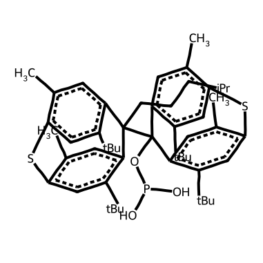 Cc1cc2c(C(C)(C)C)cc1Sc1cc(C(C)(C)C)c(cc1C)C2(CCCC(C)C)C1(OP(O)O)c2cc(C)c(cc2C(C)(C)C)Sc2cc(C(C)(C)C)c1cc2C